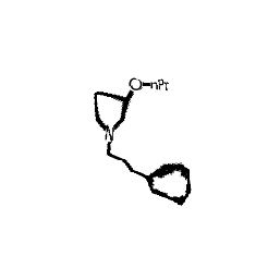 CCCOC1CCN(CCCc2ccccc2)C1